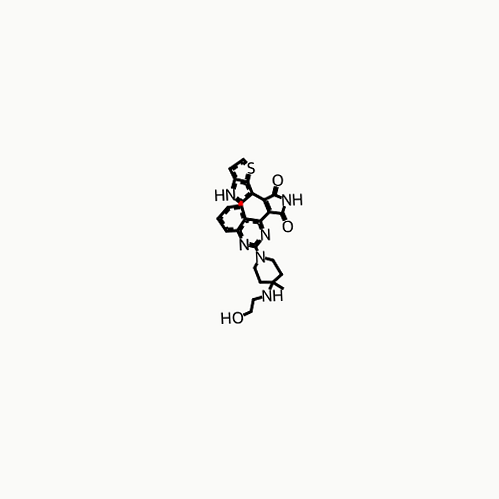 CC1(NCCO)CCN(c2nc(C3=C(c4c[nH]c5ccsc45)C(=O)NC3=O)c3ccccc3n2)CC1